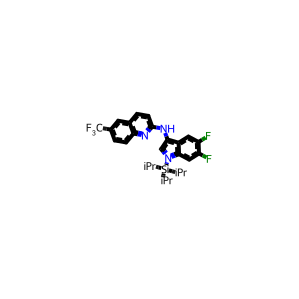 CC(C)[Si](C(C)C)(C(C)C)n1cc(Nc2ccc3cc(C(F)(F)F)ccc3n2)c2cc(F)c(F)cc21